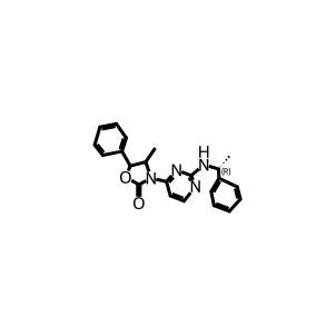 CC1C(c2ccccc2)OC(=O)N1c1ccnc(N[C@H](C)c2ccccc2)n1